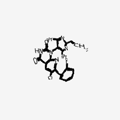 C=Cc1nc(C(C)C)c(-n2c(=O)[nH]c(=O)c3cc(Cl)c(-c4ccccc4F)nc32)c(C(C)C)n1